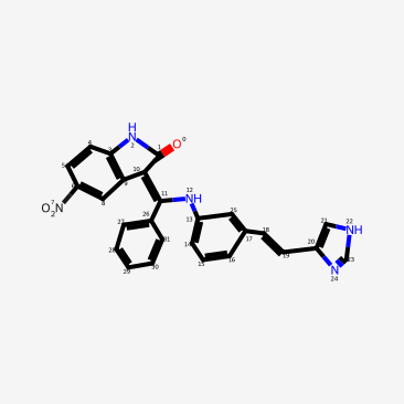 O=C1Nc2ccc([N+](=O)[O-])cc2C1=C(Nc1cccc(C=Cc2c[nH]cn2)c1)c1ccccc1